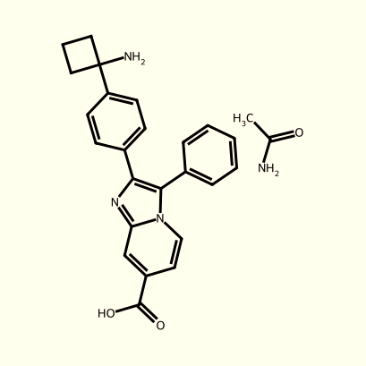 CC(N)=O.NC1(c2ccc(-c3nc4cc(C(=O)O)ccn4c3-c3ccccc3)cc2)CCC1